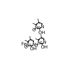 Cc1cnc(O)[n+]([O-])c1C.Cc1cnc(O)[n+]([O-])c1C.Cc1cnc(O)[n+]([O-])c1C.[Fe]